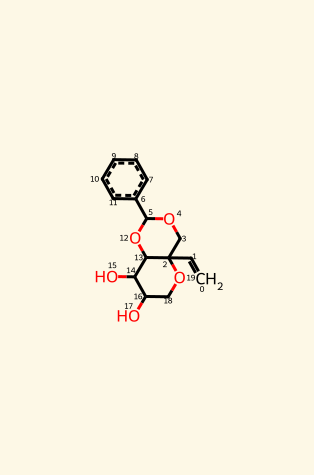 C=CC12COC(c3ccccc3)OC1C(O)C(O)CO2